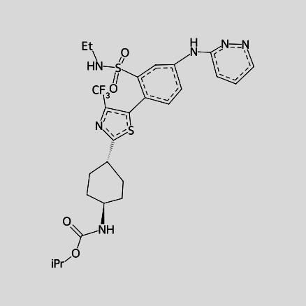 CCNS(=O)(=O)c1cc(Nc2cccnn2)ccc1-c1sc([C@H]2CC[C@H](NC(=O)OC(C)C)CC2)nc1C(F)(F)F